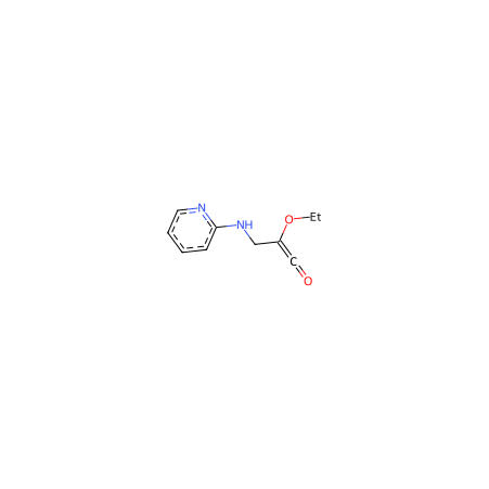 CCOC(=C=O)CNc1ccccn1